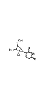 O=c1ccn(C2C3C(CO)C(O)C32O)c(=O)[nH]1